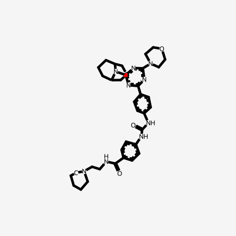 O=C(Nc1ccc(C(=O)NCCN2CCCCC2)cc1)Nc1ccc(-c2nc(N3CCOCC3)nc(N3C4CCCC3COC4)n2)cc1